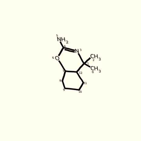 CC1(C)N=C(N)OC2CCCCC21